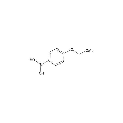 COCOc1ccc(B(O)O)cc1